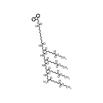 C=CCOC(=O)NCCCCCC(=O)N(C)CCNC(=O)CN(CCNC(=O)CN(CCNC(=O)CN(CCNC(=O)CCCCCCCCCCNC(=O)OCC1c2ccccc2-c2ccccc21)C(=O)CCCCCNC(=O)OCC=C)C(=O)CCCCCNC(=O)OCC=C)C(=O)CCCCCNC(=O)OCC=C